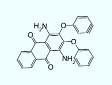 Nc1c(Oc2cc#ccc2)c(Oc2ccccc2)c(N)c2c1C(=O)c1ccccc1C2=O